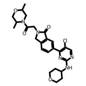 CC1CN(C(=O)CN2Cc3ccc(-c4nc(NC5CCOCC5)ncc4Cl)cc3C2=O)C(C)CO1